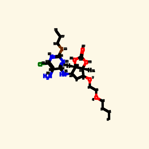 CCCCOCCO[C@H]1C[C@@H](Nc2nc(SCCC)nc(Cl)c2N)[C@@H]2OC(=O)O[C@@H]21